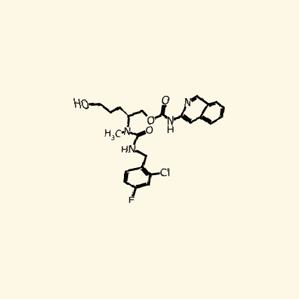 CN(C(=O)NCc1ccc(F)cc1Cl)[C@@H](CCCO)COC(=O)Nc1cc2ccccc2cn1